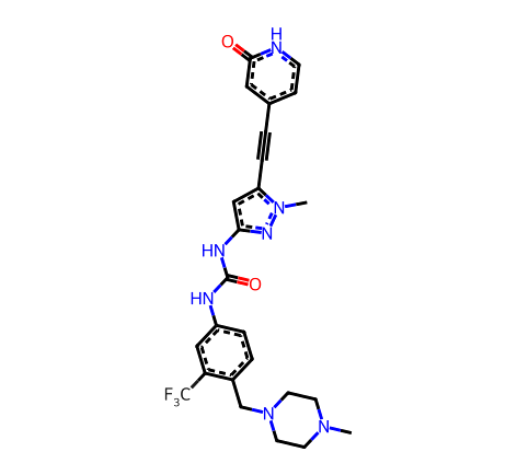 CN1CCN(Cc2ccc(NC(=O)Nc3cc(C#Cc4cc[nH]c(=O)c4)n(C)n3)cc2C(F)(F)F)CC1